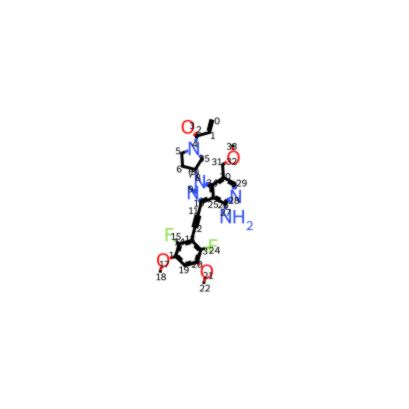 C=CC(=O)N1CC[C@H](n2nc(C#Cc3c(F)c(OC)cc(OC)c3F)c3c(N)ncc(COC)c32)C1